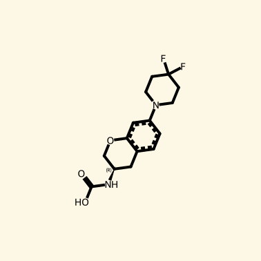 O=C(O)N[C@H]1COc2cc(N3CCC(F)(F)CC3)ccc2C1